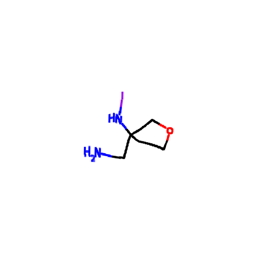 NCC1(NI)COC1